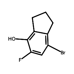 Oc1c(F)cc(Br)c2c1CCC2